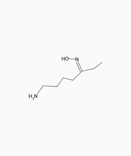 CCC(CCCCN)=NO